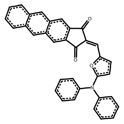 O=C1C(=Cc2ccc(N(c3ccccc3)c3ccccc3)o2)C(=O)c2cc3cc4ccccc4cc3cc21